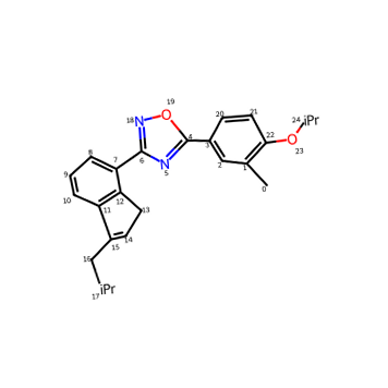 Cc1cc(-c2nc(-c3cccc4c3CC=C4CC(C)C)no2)ccc1OC(C)C